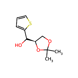 CC1(C)OC[C@H](C(O)c2cccs2)O1